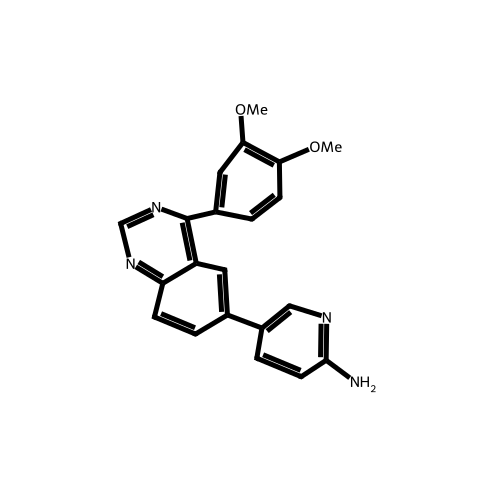 COc1ccc(-c2ncnc3ccc(-c4ccc(N)nc4)cc23)cc1OC